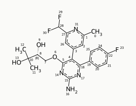 Cc1cc(-c2c(OC[C@@H](O)C(C)(C)O)nc(N)nc2-c2ccc(F)cc2)cc(C(F)F)n1